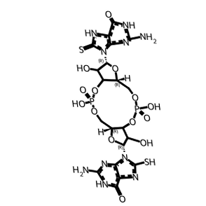 Nc1nc2c(nc(S)n2[C@@H]2O[C@@H]3COP(=O)(O)OC4C(O)[C@H](n5c(=S)[nH]c6c(=O)[nH]c(N)nc65)O[C@@H]4COP(=O)(O)OC3C2O)c(=O)[nH]1